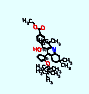 CCOC(=O)c1ccc([C@@H](O)c2c(C(C)C)nc3c(c2[C@@H]2CCC=C2O[Si](C)(C)C(C)(C)C)CCC(C)(C)C3)cc1